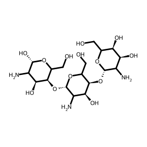 NC1[C@H](O[C@@H]2C(CO)O[C@@H](O[C@@H]3C(CO)O[C@@H](O)C(N)[C@@H]3O)C(N)[C@@H]2O)OC(CO)[C@@H](O)[C@H]1O